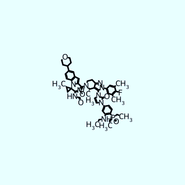 CCNc1cc(-n2ccn(-c3c4c(nn3-c3cc(C)c(F)c(C)c3)CCN(C(=O)c3cc5cc(C6CCOCC6)ccc5n3[C@@]3(c5noc(=O)[nH]5)C[C@@H]3C)[C@H]4C)c2=O)ccc1P(=O)(CC)CC